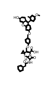 COc1ccc(C2=C3C=CC(O)C=C3Oc3cc(OCc4ccc(OCC5=C(C(=O)O)N6C(=O)[C@@H](NC(=O)Cc7ccccc7)[C@H]6SC56CC6)cc4)ccc32)c(C)c1